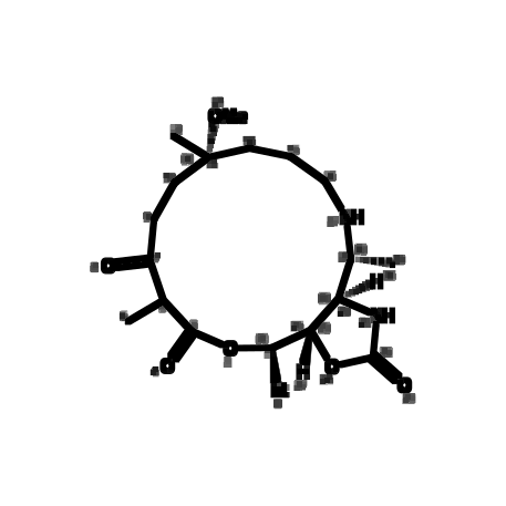 CC[C@H]1OC(=O)C(C)C(=O)CC[C@](C)(OC)CCCN[C@H](C)[C@H]2NC(=O)O[C@@H]21